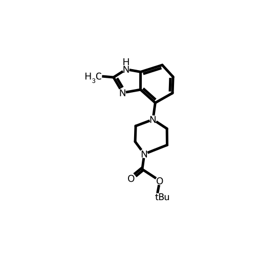 Cc1nc2c(N3CCN(C(=O)OC(C)(C)C)CC3)cccc2[nH]1